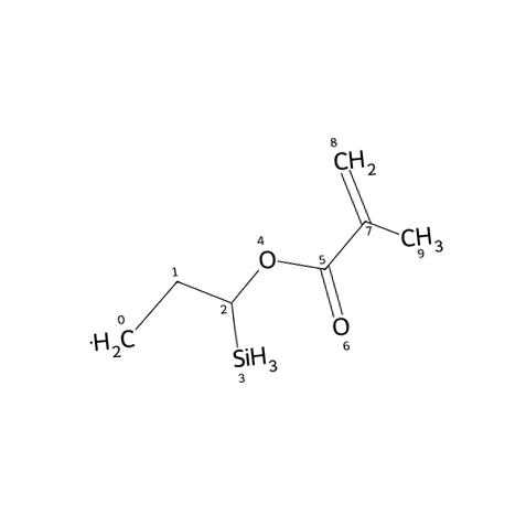 [CH2]CC([SiH3])OC(=O)C(=C)C